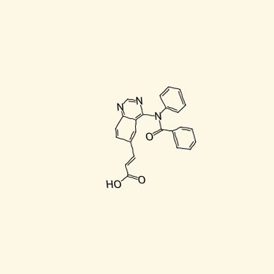 O=C(O)C=Cc1ccc2ncnc(N(C(=O)c3ccccc3)c3ccccc3)c2c1